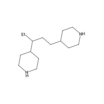 CCC(CCC1CCNCC1)C1CCNCC1